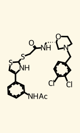 CC(=O)Nc1cccc(C2=CSC(SCC(=O)NC[C@H]3CN(Cc4ccc(Cl)c(Cl)c4)CCO3)N2)c1